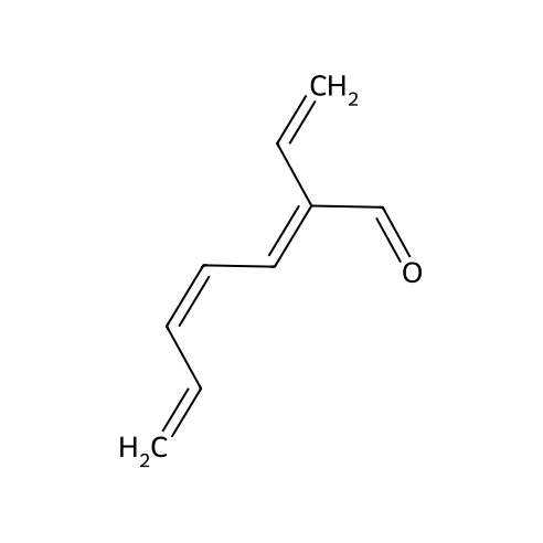 C=C/C=C\C=C(/C=C)C=O